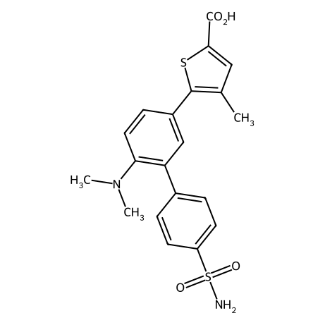 Cc1cc(C(=O)O)sc1-c1ccc(N(C)C)c(-c2ccc(S(N)(=O)=O)cc2)c1